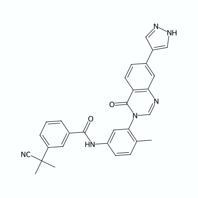 Cc1ccc(NC(=O)c2cccc(C(C)(C)C#N)c2)cc1-n1cnc2cc(-c3cn[nH]c3)ccc2c1=O